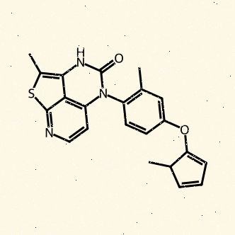 Cc1cc(OC2=CC=CC2C)ccc1N1C(=O)Nc2c(C)sc3nccc1c23